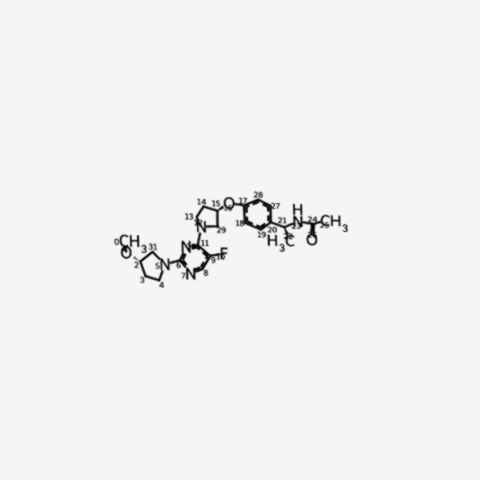 CO[C@H]1CCN(c2ncc(F)c(N3CC[C@@H](Oc4ccc([C@H](C)NC(C)=O)cc4)C3)n2)C1